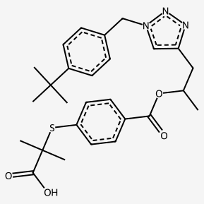 CC(Cc1cn(Cc2ccc(C(C)(C)C)cc2)nn1)OC(=O)c1ccc(SC(C)(C)C(=O)O)cc1